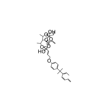 C=C/C=C\C(=C/C)C(C)(C)c1ccc(OC/C=C/[Si]2(O)OC(C)C3O[Si](C=C)(O[Si](O)(C=C)OC3C)O2)cc1